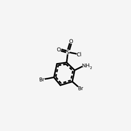 Nc1c(Br)cc(Br)cc1S(=O)(=O)Cl